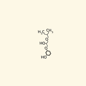 CCC(CC)COCC(O)COc1cccc(O)c1